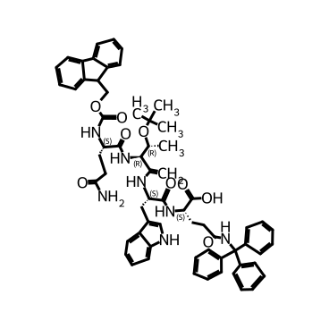 C=C(N[C@@H](Cc1c[nH]c2ccccc12)C(=O)N[C@@H](CCC(=O)NC(c1ccccc1)(c1ccccc1)c1ccccc1)C(=O)O)[C@@H](NC(=O)[C@H](CCC(N)=O)NC(=O)OCC1c2ccccc2-c2ccccc21)[C@@H](C)OC(C)(C)C